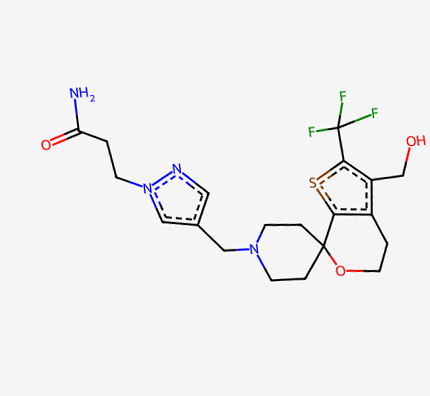 NC(=O)CCn1cc(CN2CCC3(CC2)OCCc2c3sc(C(F)(F)F)c2CO)cn1